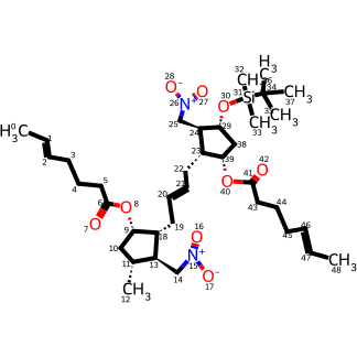 C/C=C/CCCC(=O)O[C@H]1C[C@@H](C)[C@H](C[N+](=O)[O-])[C@H]1C/C=C/C[C@@H]1[C@@H](C[N+](=O)[O-])[C@H](O[Si](C)(C)C(C)(C)C)C[C@@H]1OC(=O)CCC/C=C/C